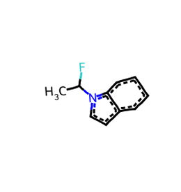 CC(F)n1ccc2ccccc21